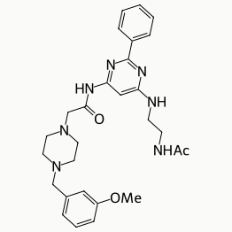 COc1cccc(CN2CCN(CC(=O)Nc3cc(NCCNC(C)=O)nc(-c4ccccc4)n3)CC2)c1